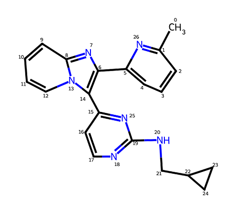 Cc1cccc(-c2nc3ccccn3c2-c2ccnc(NCC3CC3)n2)n1